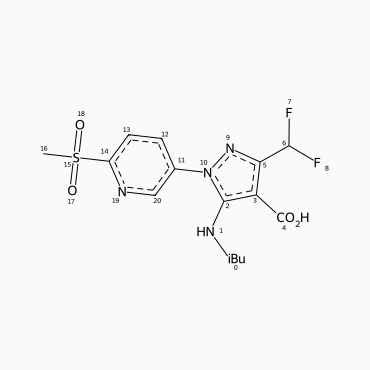 CCC(C)Nc1c(C(=O)O)c(C(F)F)nn1-c1ccc(S(C)(=O)=O)nc1